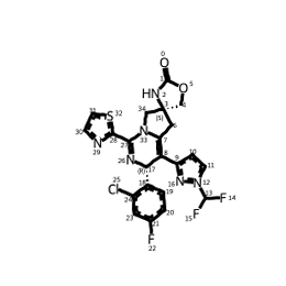 O=C1N[C@@]2(CO1)CC1=C(c3ccn(C(F)F)n3)[C@H](c3ccc(F)cc3Cl)N=C(c3nccs3)N1C2